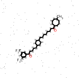 CC1CCCC(C(=O)CCCCCCCC2CCC(CCCCC(=O)c3cc(C(F)(F)F)cc(C(F)(F)F)c3)CC2)CCC1